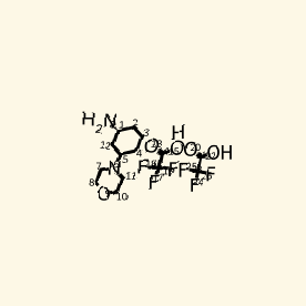 N[C@@H]1CCCC(N2CCOCC2)C1.O=C(O)C(F)(F)F.O=C(O)C(F)(F)F